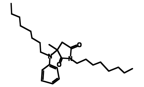 CCCCCCCCN1C(=O)CC(C)(N(CCCCCCCC)c2ccccc2)C1=O